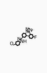 Cn1cnnc1-c1cc(F)ccc1-c1cccc(-c2nc3cc(C=O)ccc3[nH]2)c1